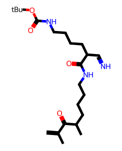 C=C(C)C(=O)C(C)CCCCNC(=O)C(C=N)CCCCNC(=O)OC(C)(C)C